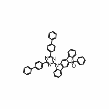 O=P1(c2ccccc2)c2ccccc2-c2cc3c(cc21)c1ccccc1n3-c1nc(-c2ccc(-c3ccccc3)cc2)nc(-c2ccc(-c3ccccc3)cc2)n1